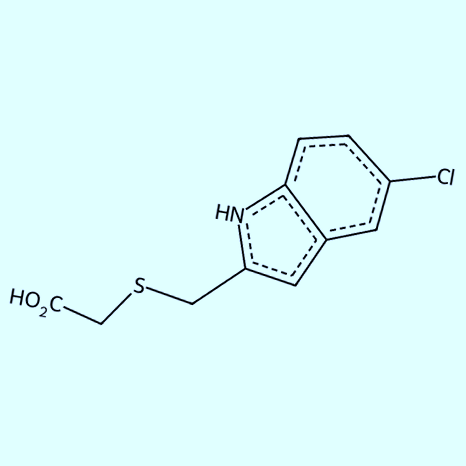 O=C(O)CSCc1cc2cc(Cl)ccc2[nH]1